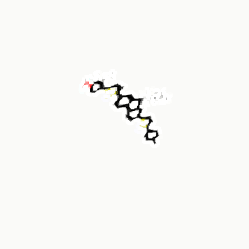 CCCCCCCCOc1ccc(-c2ccc(-c3ccc4c(c3)C(CCCCCC)(CCCCCC)c3cc(-c5ccc(-c6ccc(C)cc6)s5)ccc3-4)s2)cc1